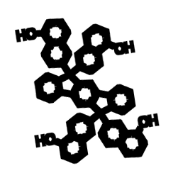 Oc1cccc2cc(C3(c4ccc5c(O)cccc5c4)c4ccccc4-c4cc5c(cc43)-c3ccccc3C5(c3ccc4c(O)cccc4c3)c3ccc4cccc(O)c4c3)ccc12